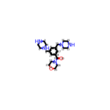 C1CNCCN1.Cc1cc(CN2CCNCC2)cc(C(=O)N2CCOCC2)c1